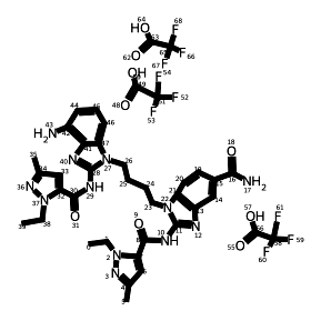 CCn1nc(C)cc1C(=O)Nc1nc2cc(C(N)=O)ccc2n1CCCCn1c(NC(=O)c2cc(C)nn2CC)nc2c(N)cccc21.O=C(O)C(F)(F)F.O=C(O)C(F)(F)F.O=C(O)C(F)(F)F